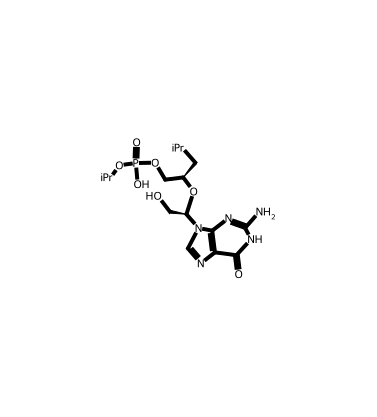 CC(C)C[C@H](COP(=O)(O)OC(C)C)O[C@H](CO)n1cnc2c(=O)[nH]c(N)nc21